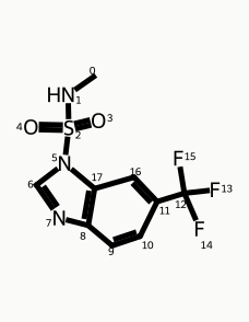 CNS(=O)(=O)n1cnc2ccc(C(F)(F)F)cc21